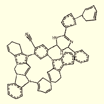 N#Cc1cc(C2NC(c3cccc(C4C=CC=CC4)c3)=NC(c3ccccc3)N2)c(-n2c3c(c4ccccc42)CCC=C3)cc1-n1c2c(c3c1CCC=C3)CC1C(=C2)N(C2=CC=CCC2)c2ccccc21